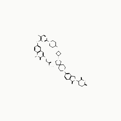 CNC(=O)COc1cc2cc(Nc3nc(N4CCC(O[C@H]5C[C@H](N6CCC7(CCN(c8ccc9c(c8)CN(C8CCC(=O)NC8=O)C9=O)CC7)C6)C5)CC4)ncc3Cl)ccc2n(C(C)C)c1=O